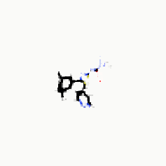 CCNC(=O)Nc1nc(-c2cc(C)cc(C)c2)c(-c2ccncc2)s1